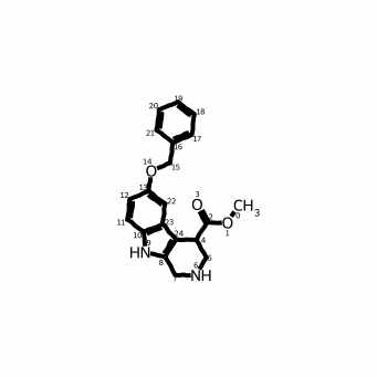 COC(=O)C1CNCc2[nH]c3ccc(OCc4ccccc4)cc3c21